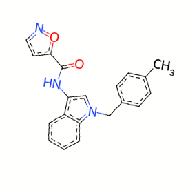 Cc1ccc(Cn2cc(NC(=O)c3ccno3)c3ccccc32)cc1